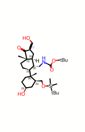 CC(C)(C)OC(=O)NC[C@@H]1[C@@H]([C@@]2(C)CC[C@H](O)C[C@@H]2CO[Si](C)(C)C(C)(C)C)CC[C@]2(C)C(=O)/C(=C\O)C[C@@H]12